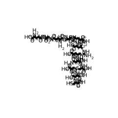 CC(C)C[C@H](N)C(=O)O.C[C@H](N)C(=O)O.N=C(N)NCCC[C@H](N)C(=O)O.NC(=O)CC[C@H](N)C(=O)O.NC(=O)C[C@H](N)C(=O)O.NC(CSSC[C@H](N)C(=O)O)C(=O)O.NCC(=O)O.N[C@@H](CC(=O)O)C(=O)O.N[C@@H](CCC(=O)O)C(=O)O.N[C@@H](CS)C(=O)O.N[C@@H](Cc1c[nH]cn1)C(=O)O